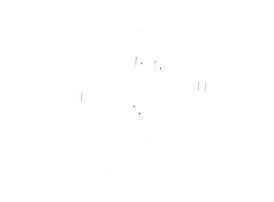 CCc1nn2c(I)cccc2c1N(CC1CCOCC1)CC1CC1.Cl